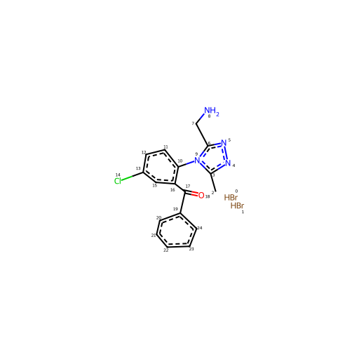 Br.Br.Cc1nnc(CN)n1-c1ccc(Cl)cc1C(=O)c1ccccc1